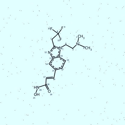 CN(C)CCn1c(CC(F)(F)F)nc2cc(C=CC(=O)NO)ccc21